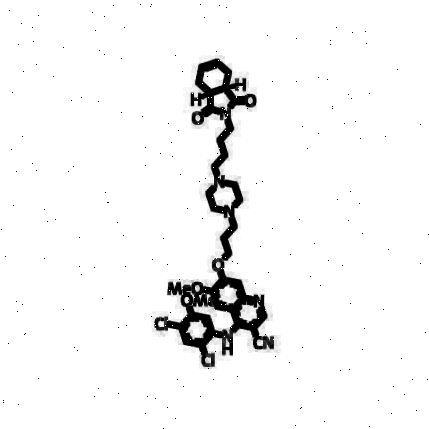 COc1cc(Nc2c(C#N)cnc3cc(OCCCN4CCN(CCCCN5C(=O)[C@H]6CC=CC[C@H]6C5=O)CC4)c(OC)cc23)c(Cl)cc1Cl